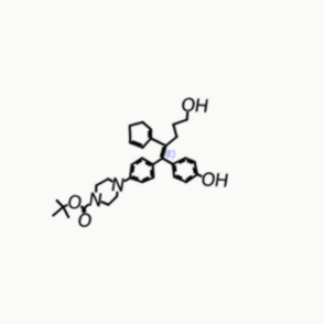 CC(C)(C)OC(=O)N1CCN(c2ccc(/C(=C(/CCCO)C3=CCCC=C3)c3ccc(O)cc3)cc2)CC1